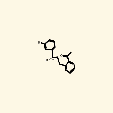 CC(=O)c1ccccc1CC[C@H](O)c1cccc(Br)c1